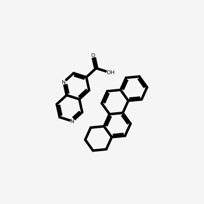 O=C(O)c1cnc2ccncc2c1.c1ccc2c(c1)ccc1c3c(ccc12)CCCC3